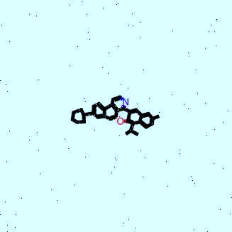 Cc1ccc2c(C(C)C)c3c(cc2c1)-c1nccc2c1c(cc1cc(C4CCCCC4)ccc12)O3